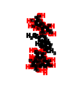 C=C=C1CC2CCC3[C@](C)(C(=O)OC4OC(CO)C(O)C(OC5OC(CO)C(O)C(O)C5O)C4OC4OC(CO)C(O)C(O)C4O)CCC[C@@]3(C)[C@@H]2CCC1OC1OC(CO)C(O)C(OC2OC(CO)C(O)C(O)C2O)C1O